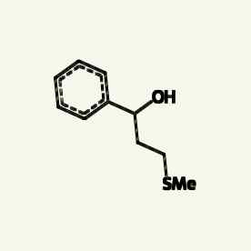 CSCCC(O)c1ccccc1